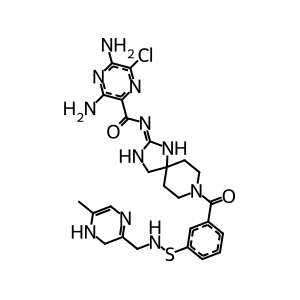 CC1=CN=C(CNSc2cccc(C(=O)N3CCC4(CC3)CN/C(=N\C(=O)c3nc(Cl)c(N)nc3N)N4)c2)CN1